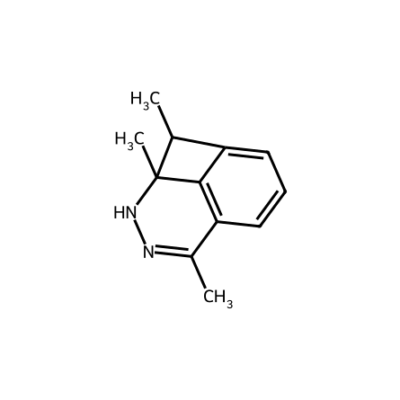 CC1=NNC2(C)c3c1cccc3C2C